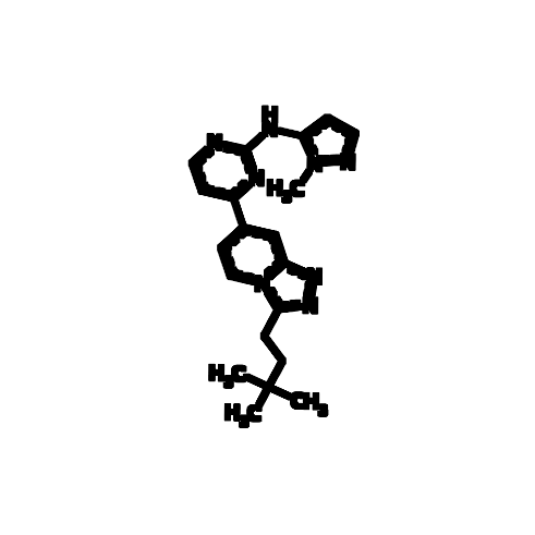 Cn1nccc1Nc1nccc(-c2ccn3c(CCC(C)(C)C)nnc3c2)n1